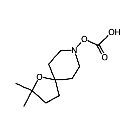 CC1(C)CCC2(CCN(OC(=O)O)CC2)O1